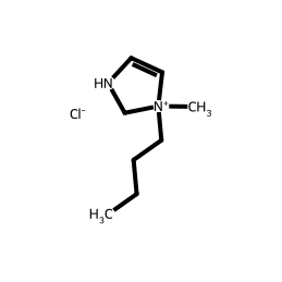 CCCC[N+]1(C)C=CNC1.[Cl-]